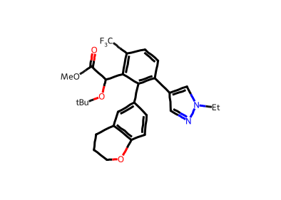 CCn1cc(-c2ccc(C(F)(F)F)c(C(OC(C)(C)C)C(=O)OC)c2-c2ccc3c(c2)CCCO3)cn1